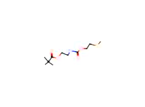 CSCCOC(=O)NCCOC(=O)C(C)(C)C